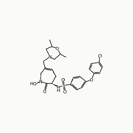 CC1CN(CC2=CC[C@@H](NS(=O)(=O)c3ccc(Oc4ccc(Cl)cc4)cc3)C(=O)N(O)C2)CC(C)O1